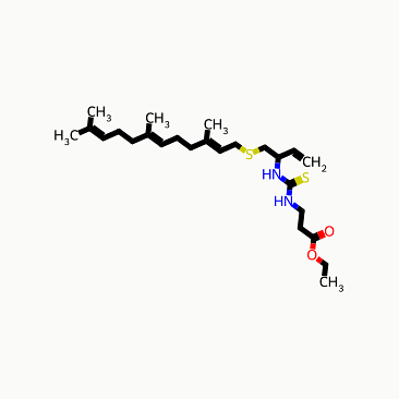 C=CC(CSC/C=C(\C)CC/C=C(\C)CCC=C(C)C)NC(=S)NCCC(=O)OCC